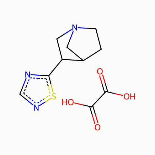 O=C(O)C(=O)O.c1nsc(C2CN3CCC2C3)n1